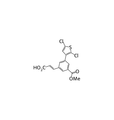 COC(=O)c1cc(C=CC(=O)O)cc(-c2cc(Cl)sc2Cl)c1